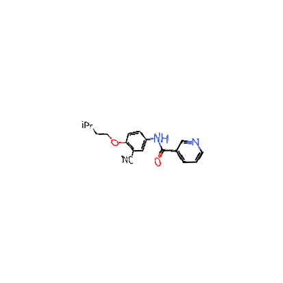 CC(C)CCOc1ccc(NC(=O)c2cccnc2)cc1C#N